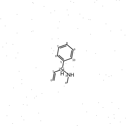 C=C[SiH](NC)c1ccccc1